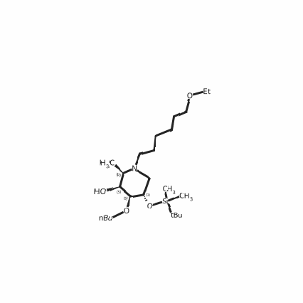 CCCCO[C@H]1[C@@H](O)[C@@H](C)N(CCCCCCOCC)C[C@@H]1O[Si](C)(C)C(C)(C)C